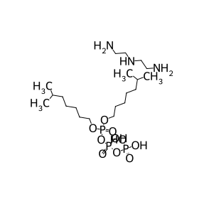 CC(C)CCCCCOP(=O)(OCCCCCC(C)C)OP(=O)(O)OP(=O)(O)O.NCCNCCN